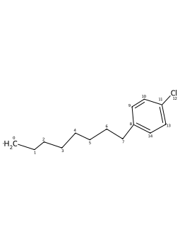 [CH2]CCCCCCCc1ccc(Cl)cc1